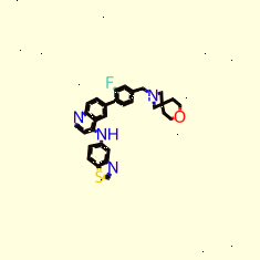 Fc1cc(CN2CC3(CCOCC3)C2)ccc1-c1ccc2nccc(Nc3ccc4scnc4c3)c2c1